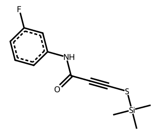 C[Si](C)(C)SC#CC(=O)Nc1cccc(F)c1